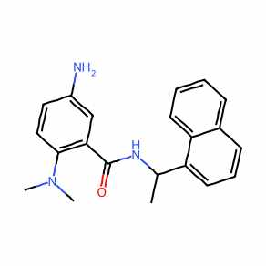 CC(NC(=O)c1cc(N)ccc1N(C)C)c1cccc2ccccc12